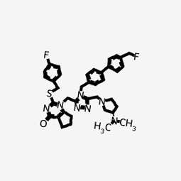 CN(C)[C@H]1CCN(Cc2nnc(Cn3c(SCc4ccc(F)cc4)nc(=O)c4c3CCC4)n2Cc2ccc(-c3ccc(CF)cc3)cc2)C1